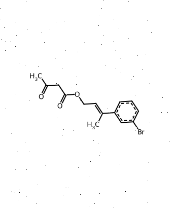 CC(=O)CC(=O)OC/C=C(\C)c1cccc(Br)c1